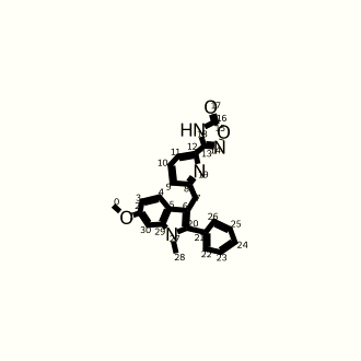 COc1ccc2c(Cc3cccc(-c4noc(=O)[nH]4)n3)c(-c3ccccc3)n(C)c2c1